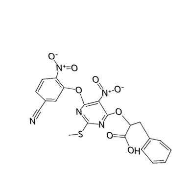 CSc1nc(Oc2cc(C#N)ccc2[N+](=O)[O-])c([N+](=O)[O-])c(OC(Cc2ccccc2)C(=O)O)n1